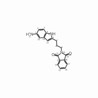 Nc1ccc2[nH]c(CCCN3C(=O)c4ccccc4C3=O)cc2c1